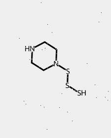 SSSN1CCNCC1